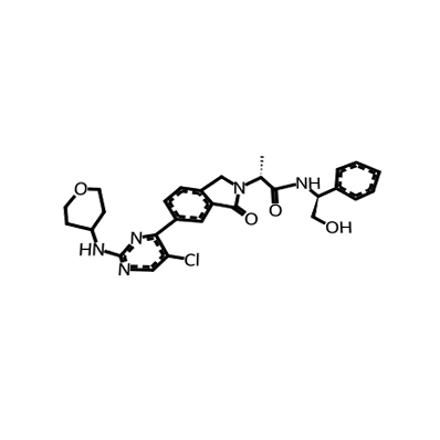 C[C@H](C(=O)N[C@H](CO)c1ccccc1)N1Cc2ccc(-c3nc(NC4CCOCC4)ncc3Cl)cc2C1=O